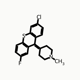 CN1CCC(=C2c3ccc(Cl)cc3Sc3ccc(F)cc32)CC1